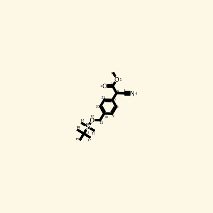 COC(=O)C(C#N)c1ccc(CO[Si](C)(C)C(C)(C)C)cc1